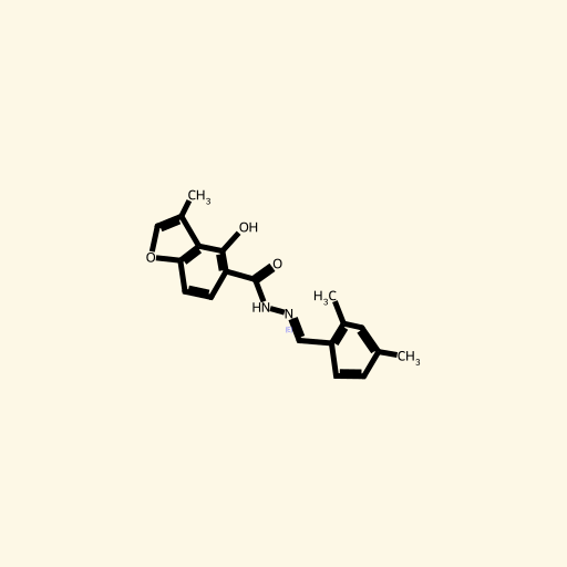 Cc1ccc(/C=N/NC(=O)c2ccc3occ(C)c3c2O)c(C)c1